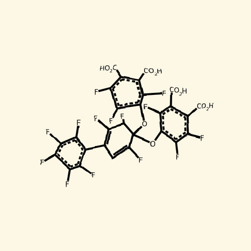 O=C(O)c1c(F)c(F)c(OC2(Oc3c(F)c(F)c(C(=O)O)c(C(=O)O)c3F)C(F)=CC(c3c(F)c(F)c(F)c(F)c3F)=C(F)C2F)c(F)c1C(=O)O